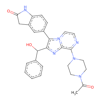 CC(=O)N1CCN(c2nccn3c(-c4ccc5c(c4)CC(=O)N5)c(C(O)c4ccccc4)nc23)CC1